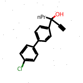 C#CC(O)(CCC)c1ccc(-c2ccc(Cl)cc2)cc1